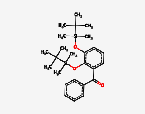 CC(C)(C)[Si](C)(C)Oc1cccc(C(=O)c2ccccc2)c1O[Si](C)(C)C(C)(C)C